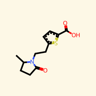 CC1CCC(=O)N1CCc1ccc(C(=O)O)s1